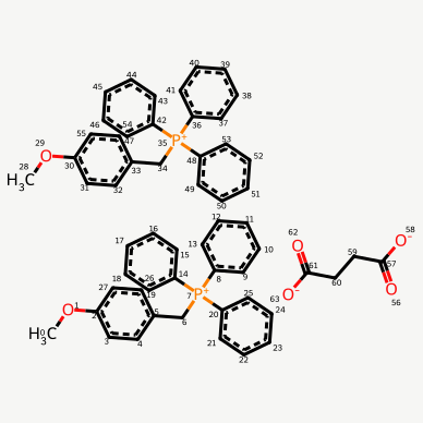 COc1ccc(C[P+](c2ccccc2)(c2ccccc2)c2ccccc2)cc1.COc1ccc(C[P+](c2ccccc2)(c2ccccc2)c2ccccc2)cc1.O=C([O-])CCC(=O)[O-]